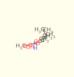 COCC(O)COCCCNC(=O)OC1CCC2(C)C(=CCC3C2CCC2(C)C(C(C)CCCC(C)C)CCC32)C1